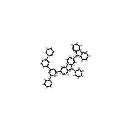 c1ccc(-c2cccc(-c3nc(-c4ccccc4)nc(-c4ccc5c(c4)c4ccc(-n6c7ccccc7c7cccnc76)cc4n5-c4ccccc4)n3)c2)cc1